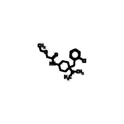 CCOCC(=O)NC1CCC(Cc2ccccc2Cl)(N(C)C)CC1